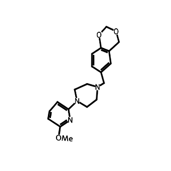 COc1cccc(N2CCN(Cc3ccc4c(c3)COCO4)CC2)n1